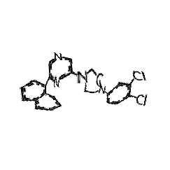 Clc1ccc(N2CCN(c3cncc(-c4cccc5ccccc45)n3)CC2)cc1Cl